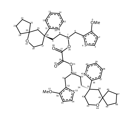 COc1ccsc1CN(CC[C@@]1(c2ccccn2)CCOC2(CCCC2)C1)OC(=O)C(=O)ON(CC[C@@]1(c2ccccn2)CCOC2(CCCC2)C1)Cc1sccc1OC